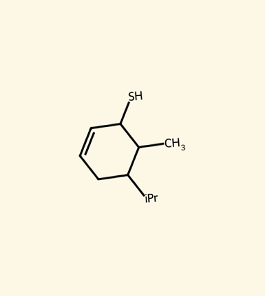 CC(C)C1CC=CC(S)C1C